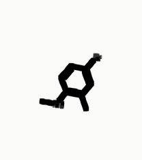 CNc1ccc(Br)cc1C